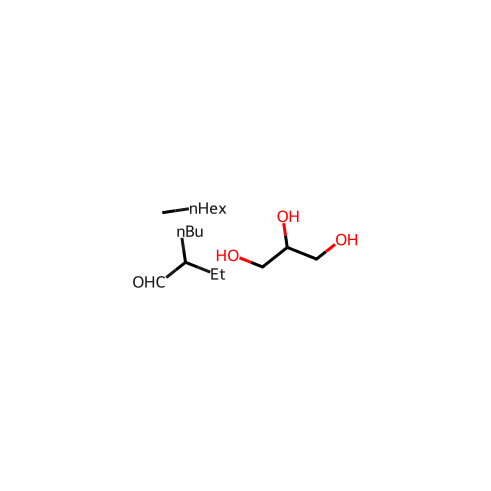 CCCCC(C=O)CC.CCCCCCC.OCC(O)CO